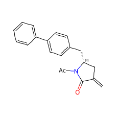 C=C1C[C@@H](Cc2ccc(-c3ccccc3)cc2)N(C(C)=O)C1=O